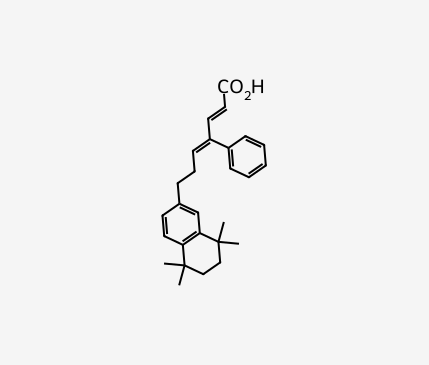 CC1(C)CCC(C)(C)c2cc(CC/C=C(/C=C/C(=O)O)c3ccccc3)ccc21